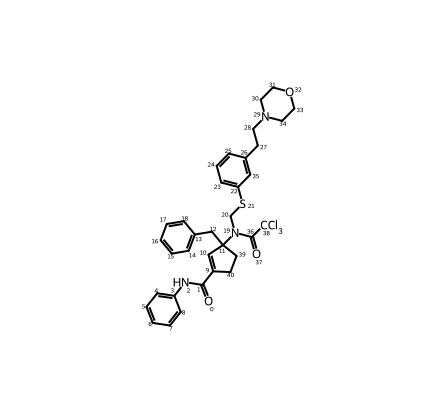 O=C(Nc1ccccc1)C1=CC(Cc2ccccc2)(N(CSc2cccc(CCN3CCOCC3)c2)C(=O)C(Cl)(Cl)Cl)CC1